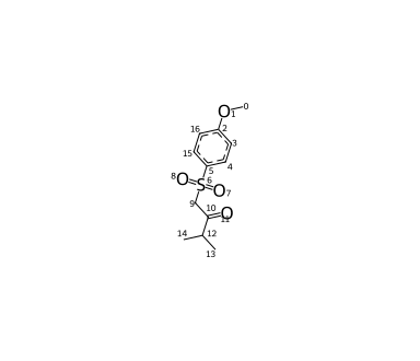 COc1ccc(S(=O)(=O)CC(=O)C(C)C)cc1